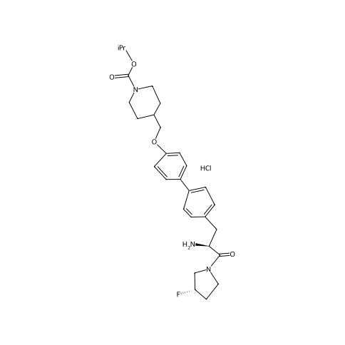 CC(C)OC(=O)N1CCC(COc2ccc(-c3ccc(C[C@H](N)C(=O)N4CC[C@H](F)C4)cc3)cc2)CC1.Cl